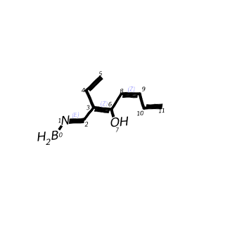 B/N=C/C(C=C)=C(O)/C=C\C=C